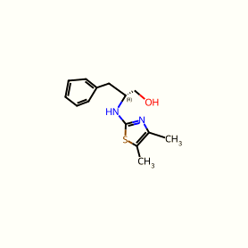 Cc1nc(N[C@@H](CO)Cc2ccccc2)sc1C